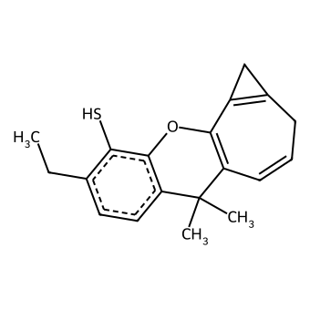 CCc1ccc2c(c1S)OC1=C(C=CCC3=C1C3)C2(C)C